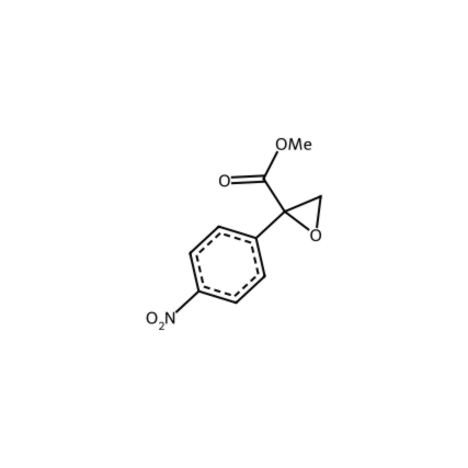 COC(=O)C1(c2ccc([N+](=O)[O-])cc2)CO1